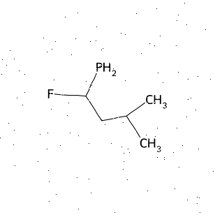 CC(C)CC(F)P